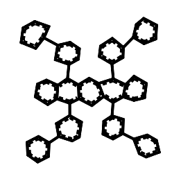 c1ccc(-c2cccc(-c3c4ccccc4c(-c4cccc(-c5ccccc5)c4)c4cc5c(-c6cccc(-c7ccccc7)c6)c6ccccc6c(-c6cccc(-c7ccccc7)c6)c5cc34)c2)cc1